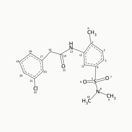 Cc1ccc(S(=O)(=O)N(C)C)cc1NC(=O)Cc1cccc(Cl)c1